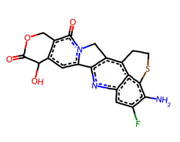 Nc1c(F)cc2nc3c(c4c2c1SCC4)Cn1c-3cc2c(c1=O)COC(=O)C2O